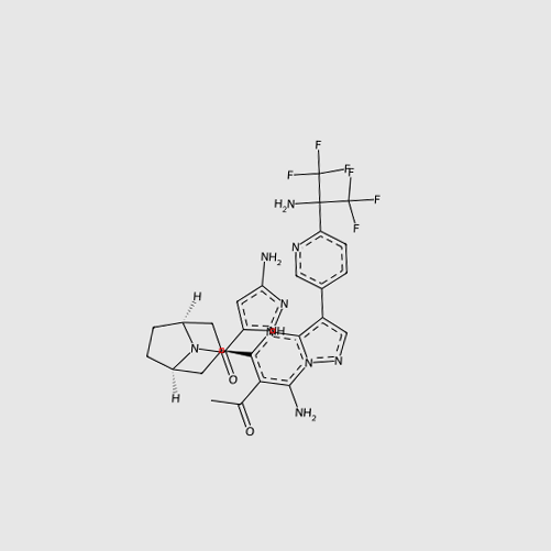 CC(=O)c1c([C@H]2C[C@H]3CC[C@@H](C2)N3C(=O)c2cc(N)n[nH]2)nc2c(-c3ccc(C(N)(C(F)(F)F)C(F)(F)F)nc3)cnn2c1N